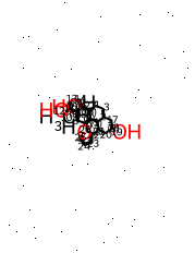 C[C@]12C(=CC[C@@H]3[C@@H]1CC[C@]1(C)[C@H](O)CC[C@]31O)C[C@@H](O)C[C@H]2c1ccco1